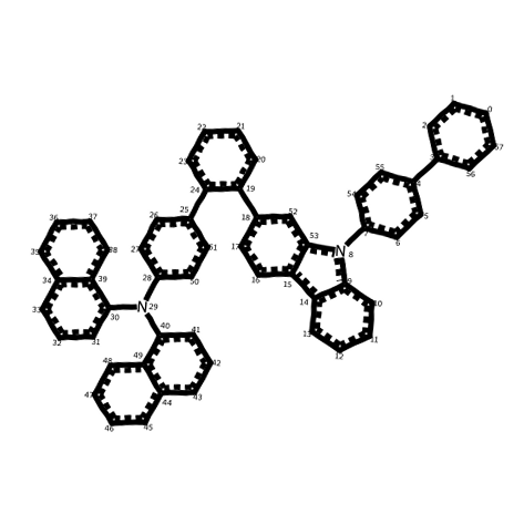 c1ccc(-c2ccc(-n3c4ccccc4c4ccc(-c5ccccc5-c5ccc(N(c6cccc7ccccc67)c6cccc7ccccc67)cc5)cc43)cc2)cc1